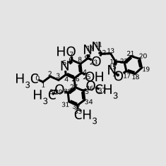 CCCCc1nc(O)c(-c2nnc(Cc3noc4ccccc34)o2)c(O)c1-c1c(OC)cc(C)cc1OC